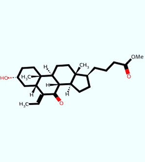 C/C=C1/C(=O)[C@@H]2[C@H](CC[C@]3(C)[C@@H](CCCC(=O)OC)CC[C@@H]23)[C@@]2(C)CC[C@@H](O)C[C@@H]12